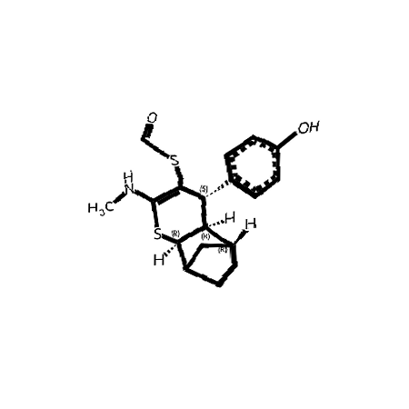 CNC1=C(SC=O)[C@H](c2ccc(O)cc2)[C@H]2[C@@H]3CCC(C3)[C@H]2S1